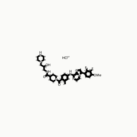 COc1ccc(-c2cnc3c(Nc4ccc(C(=O)N5CCC(C(=O)NCC(O)CN6CCNCC6)CC5)c(C)c4)nccn23)c(F)c1F.Cl